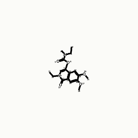 CCN(C)C(=O)Oc1cn(CC)c(=O)c2cc(OC)c(OC)cc12